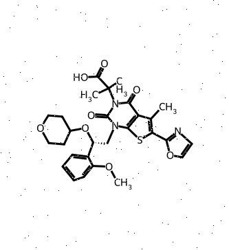 COc1ccccc1[C@@H](Cn1c(=O)n(C(C)(C)C(=O)O)c(=O)c2c(C)c(-c3ncco3)sc21)OC1CCOCC1